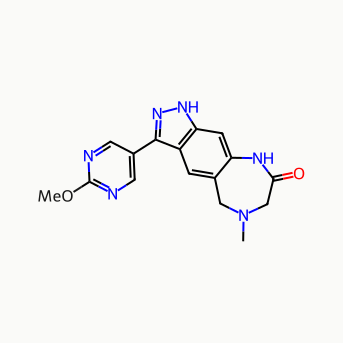 COc1ncc(-c2n[nH]c3cc4c(cc23)CN(C)CC(=O)N4)cn1